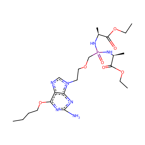 CCCCOc1nc(N)nc2c1ncn2CCOCP(=O)(N[C@@H](C)C(=O)OCC)N[C@@H](C)C(=O)OCC